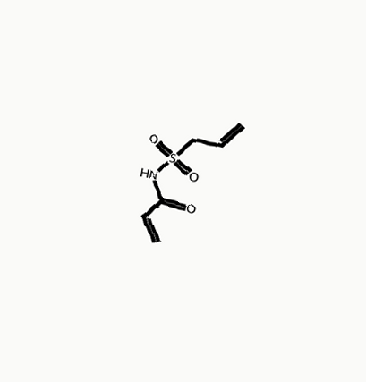 C=CCS(=O)(=O)NC(=O)C=C